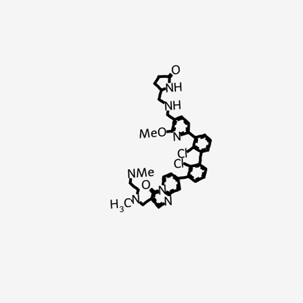 CNCCN(C)Cc1cnc2cc(-c3cccc(-c4cccc(-c5ccc(CNCC6CCC(=O)N6)c(OC)n5)c4Cl)c3Cl)ccn2c1=O